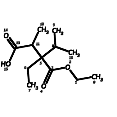 CCOC(=O)C(CC)(C(C)C)C(C)C(=O)O